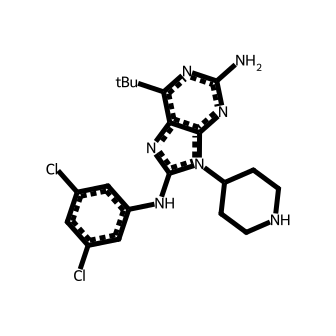 CC(C)(C)c1nc(N)nc2c1nc(Nc1cc(Cl)cc(Cl)c1)n2C1CCNCC1